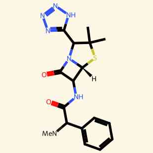 CNC(C(=O)NC1C(=O)N2C(c3nnn[nH]3)C(C)(C)S[C@H]12)c1ccccc1